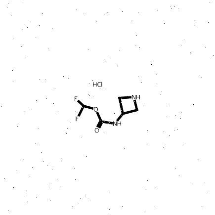 Cl.O=C(NC1CNC1)OC(F)F